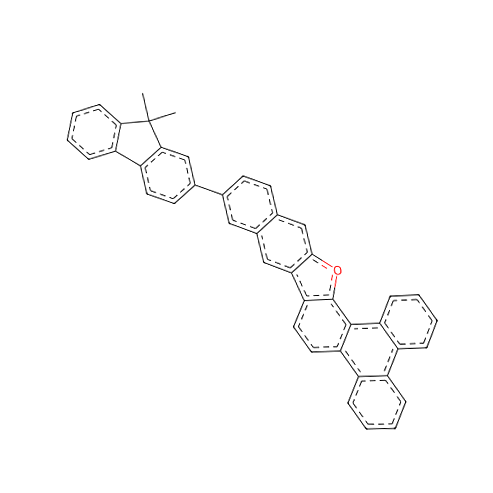 CC1(C)c2ccccc2-c2ccc(-c3ccc4cc5oc6c(ccc7c8ccccc8c8ccccc8c76)c5cc4c3)cc21